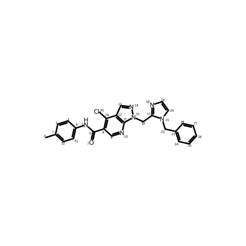 Cc1ccc(NC(=O)c2cnc3c(cnn3Cc3nccn3Cc3ccccc3)c2Cl)cc1